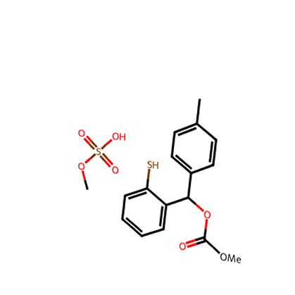 COC(=O)OC(c1ccc(C)cc1)c1ccccc1S.COS(=O)(=O)O